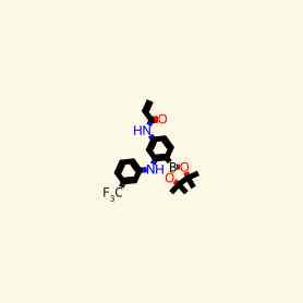 C=CC(=O)Nc1ccc(B2OC(C)(C)C(C)(C)O2)c(Nc2cccc(C(F)(F)F)c2)c1